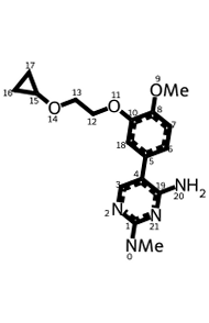 CNc1ncc(-c2ccc(OC)c(OCCOC3CC3)c2)c(N)n1